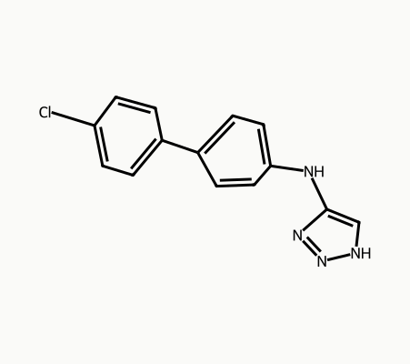 Clc1ccc(-c2ccc(Nc3c[nH]nn3)cc2)cc1